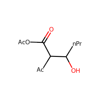 CCCC(O)C(C(C)=O)C(=O)OC(C)=O